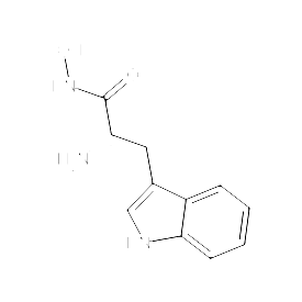 N[C@@H](Cc1c[nH]c2ccccc12)C(=O)NO